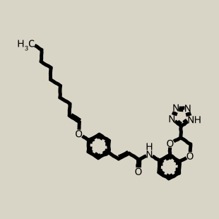 CCCCCCCC/C=C/Oc1ccc(/C=C/C(=O)Nc2cccc3c2OC(c2nnn[nH]2)CO3)cc1